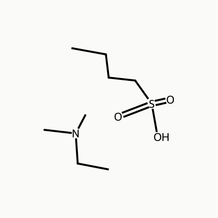 CCCCS(=O)(=O)O.CCN(C)C